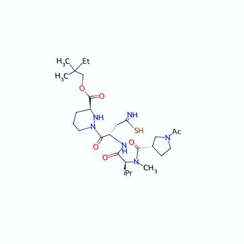 CCC(C)(C)COC(=O)[C@@H]1CCCN(C(=O)[C@H](CC(=N)S)NC(=O)[C@H](C(C)C)N(C)C(=O)[C@H]2CCN(C(C)=O)C2)N1